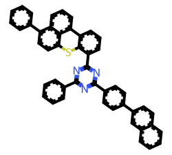 c1ccc(-c2nc(-c3ccc(-c4ccc5ccccc5c4)cc3)nc(-c3cccc4c3Sc3ccc(-c5ccccc5)c5cccc-4c35)n2)cc1